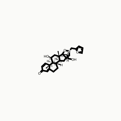 C[C@]12C=CC(=O)C=C1CC[C@@H]1[C@@H]2[C@@H](O)C[C@@]2(C)[C@H]1C[C@H]1CN(Cc3ccco3)O[C@]12C(=O)CO